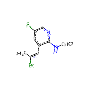 C/C(Br)=C\c1cc(F)cnc1NC=O